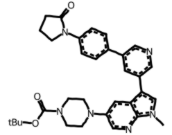 Cn1cc(-c2cncc(-c3ccc(N4CCCC4=O)cc3)c2)c2cc(N3CCN(C(=O)OC(C)(C)C)CC3)cnc21